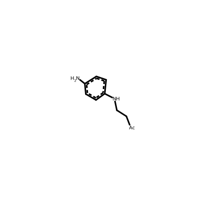 CC(=O)CCNc1ccc(N)cc1